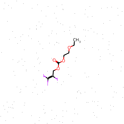 CCOCCOC(=O)OCC(I)=C(I)I